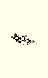 NC(=O)CN1CCN(c2cc(Br)c(F)cc2N)CC1